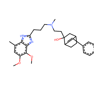 COc1cc(C)c2[nH]c(CCCN(C)CCC3(O)CC4CCC3C=C4c3ccccc3)nc2c1OC